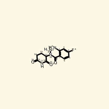 Nc1cc(F)ccc1C(=O)N(N)C1CCC(=O)NC1=O